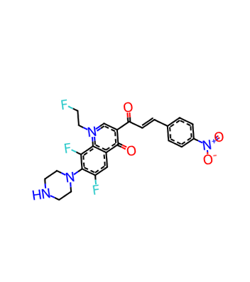 O=C(C=Cc1ccc([N+](=O)[O-])cc1)c1cn(CCF)c2c(F)c(N3CCNCC3)c(F)cc2c1=O